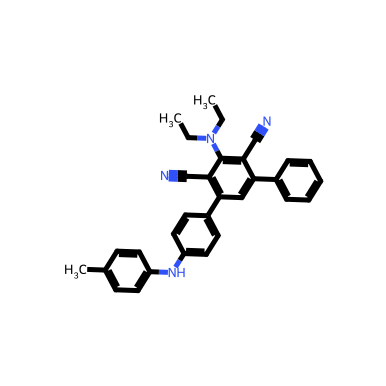 CCN(CC)c1c(C#N)c(-c2ccccc2)cc(-c2ccc(Nc3ccc(C)cc3)cc2)c1C#N